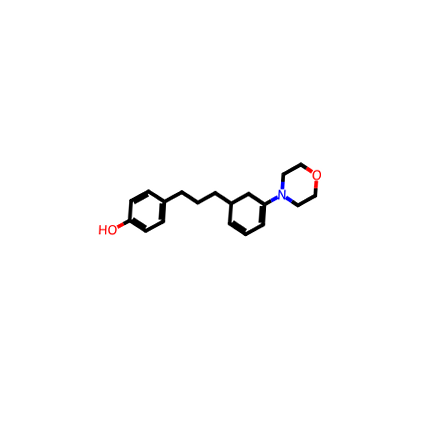 Oc1ccc(CCCC2C=CC=C(N3CCOCC3)C2)cc1